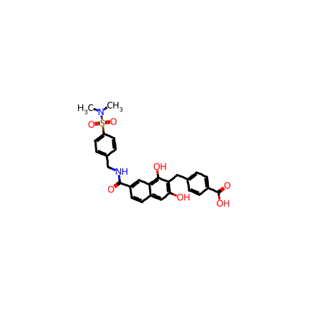 CN(C)S(=O)(=O)c1ccc(CNC(=O)c2ccc3cc(O)c(Cc4ccc(C(=O)O)cc4)c(O)c3c2)cc1